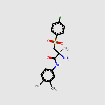 C[C@@](N)(CS(=O)(=O)c1ccc(F)cc1)C(=O)Nc1ccc(C#N)c(C(F)(F)F)c1